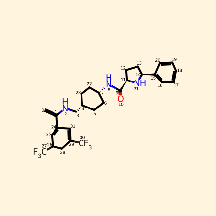 C=C(NC[C@H]1CC[C@@H](NC(=O)[C@H]2CC[C@@H](c3ccccc3)N2)CC1)C1=CC(C(F)(F)F)CC(C(F)(F)F)=C1